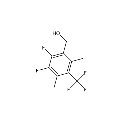 Cc1c(F)c(F)c(CO)c(C)c1C(F)(F)F